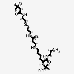 CCCC(C)(C)NC(CCCCNCCC(=O)NCCSSCCNC(=O)CC(C)(C)CC)C(=O)NCCN